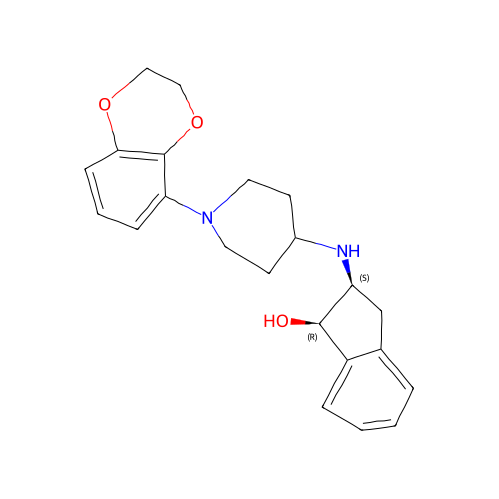 O[C@@H]1c2ccccc2C[C@@H]1NC1CCN(c2cccc3c2OCCO3)CC1